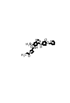 C=CC(=O)N1CCC(C(=O)Nc2cc3c(Nc4ccc(OCc5ccccn5)c(Cl)c4)ncnc3cc2OC)C1